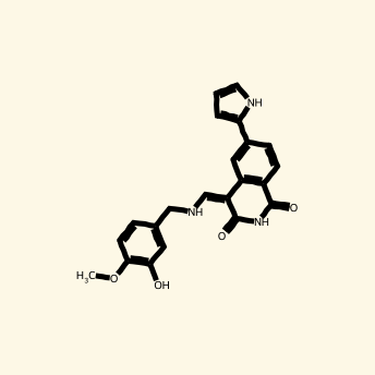 COc1ccc(CNC=C2C(=O)NC(=O)c3ccc(-c4ccc[nH]4)cc32)cc1O